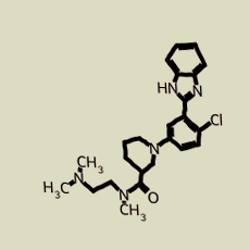 CN(C)CCN(C)C(=O)C1CCCN(c2ccc(Cl)c(-c3nc4ccccc4[nH]3)c2)C1